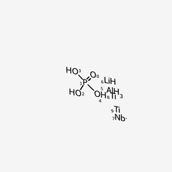 O=P(O)(O)O.[AlH3].[LiH].[Nb].[Ti].[Ti]